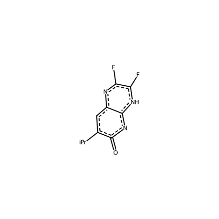 CC(C)c1cc2nc(F)c(F)[nH]c-2nc1=O